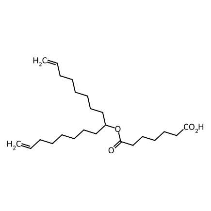 C=CCCCCCCC(CCCCCCC=C)OC(=O)CCCCCC(=O)O